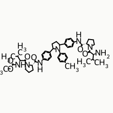 COC(=O)N[C@H](C(=O)N1CCC[C@H]1C(=O)Nc1ccc(C2CCC(c3ccc(NC(=O)[C@@H]4CCCN4C(=O)[C@@H](N)C(C)C)cc3)N2c2ccc(C)cc2)cc1)C(C)C